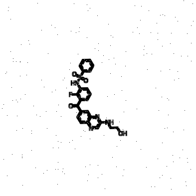 O=C(c1ccc2ncc(NCCO)nc2c1)c1cccc(NS(=O)(=O)c2ccccc2)c1F